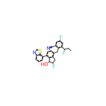 CCC(F)c1cc(F)cc(C#N)c1Cc1ccc(-c2cccc3ncsc23)c2c1CC(F)C2O